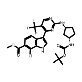 COC(=O)c1ccc2c(-c3nc(N[C@H]4CC[C@H](NC(=O)OC(C)(C)C)C4)ncc3C(F)(F)F)c[nH]c2c1Cl